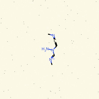 CN=C=CN(N)/C=N/C